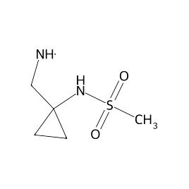 CS(=O)(=O)NC1(C[NH])CC1